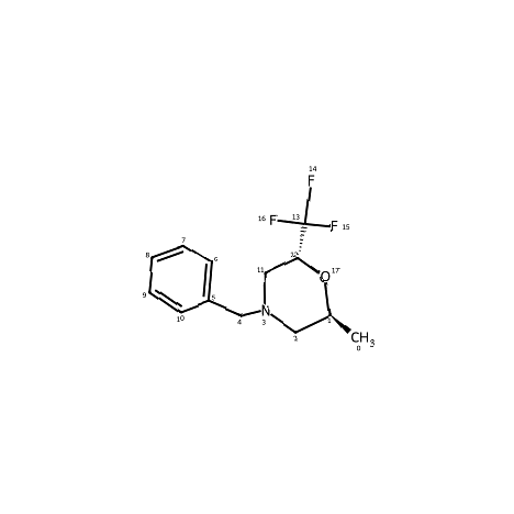 C[C@H]1CN(Cc2ccccc2)C[C@H](C(F)(F)F)O1